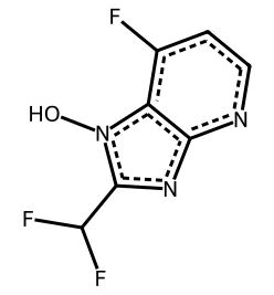 On1c(C(F)F)nc2nccc(F)c21